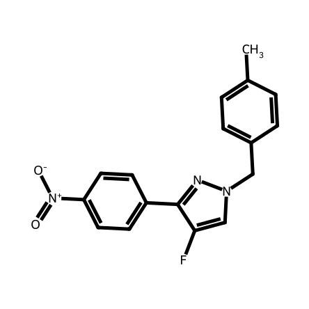 Cc1ccc(Cn2cc(F)c(-c3ccc([N+](=O)[O-])cc3)n2)cc1